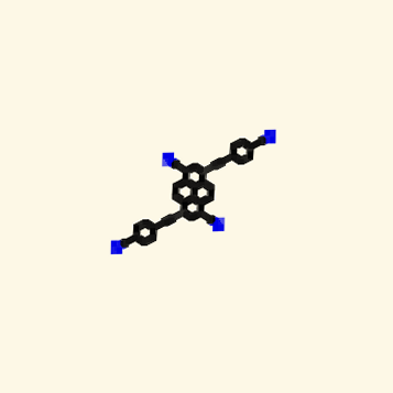 N#Cc1ccc(C#Cc2cc(C#N)c3ccc4c(C#Cc5ccc(C#N)cc5)cc(C#N)c5ccc2c3c54)cc1